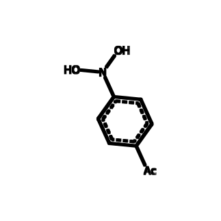 CC(=O)c1ccc(N(O)O)cc1